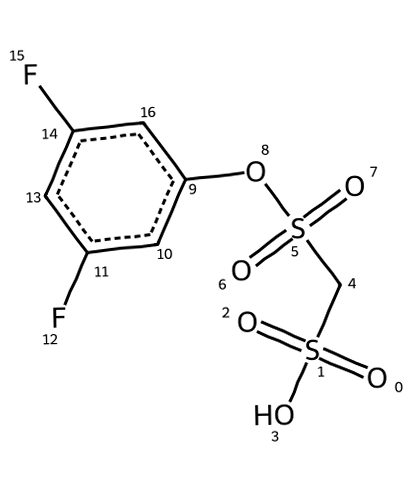 O=S(=O)(O)CS(=O)(=O)Oc1cc(F)cc(F)c1